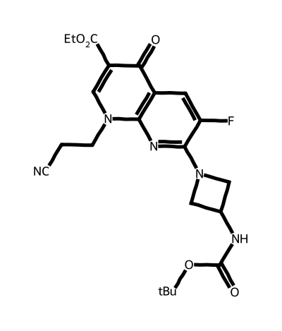 CCOC(=O)c1cn(CCC#N)c2nc(N3CC(NC(=O)OC(C)(C)C)C3)c(F)cc2c1=O